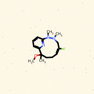 COC1(C)CC/C=C(/F)CN(C)N(C)c2cccc1n2